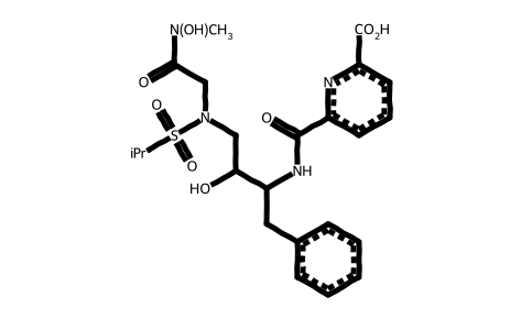 CC(C)S(=O)(=O)N(CC(=O)N(C)O)CC(O)C(Cc1ccccc1)NC(=O)c1cccc(C(=O)O)n1